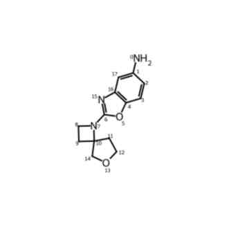 Nc1ccc2oc(N3CCC34CCOC4)nc2c1